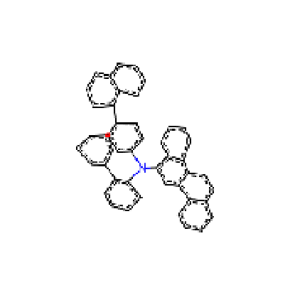 c1ccc(-c2ccccc2N(c2ccc(-c3cccc4ccccc34)cc2)c2cc3c4ccccc4ccc3c3ccccc23)cc1